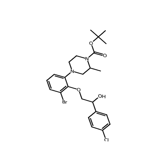 CC1CN(c2cccc(Br)c2OCC(O)c2ccc(Cl)cc2)CCN1C(=O)OC(C)(C)C